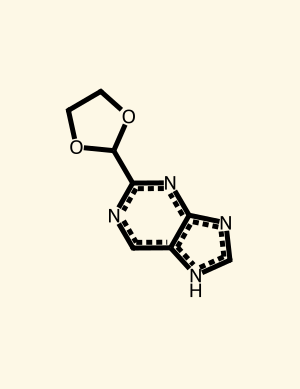 c1nc2nc(C3OCCO3)ncc2[nH]1